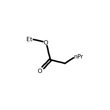 C[CH]CCC(=O)OCC